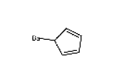 [Ba][CH]1C=CC=C1